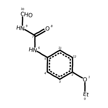 CCOc1ccc(NC(=O)NC=O)cc1